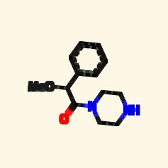 COC(C(=O)N1CCNCC1)c1ccccc1